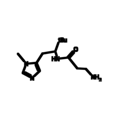 Cn1cncc1CC(NC(=O)CCN)C(C)(C)C